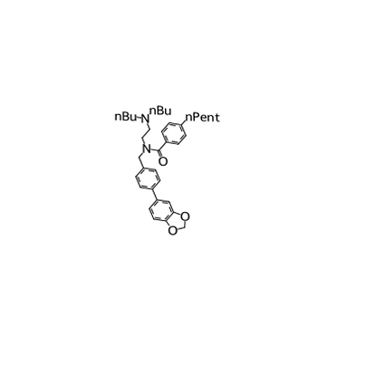 CCCCCc1ccc(C(=O)N(CCN(CCCC)CCCC)Cc2ccc(-c3ccc4c(c3)OCO4)cc2)cc1